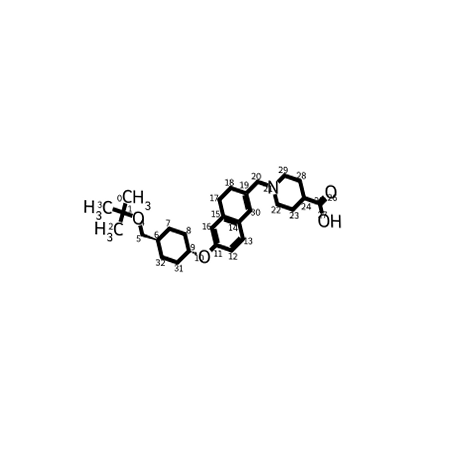 CC(C)(C)OC[C@H]1CC[C@H](Oc2ccc3c(c2)CCC(CN2CCC(C(=O)O)CC2)=C3)CC1